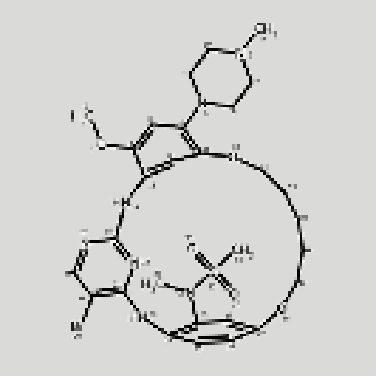 COc1cc(N2CCN(C)CC2)c2cc1Nc1ncc(Br)c(n1)Nc1ccc(cc1N(C)S(C)(=O)=O)OCCCCCO2